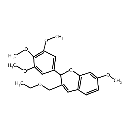 CCOCC1=Cc2ccc(OC)cc2OC1c1cc(OC)c(OC)c(OC)c1